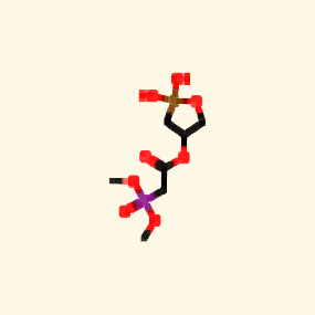 COP(=O)(CC(=O)OC1COS(O)(O)C1)OC